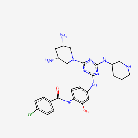 N[C@@H]1C[C@H](N)CN(c2nc(Nc3ccc(NC(=O)c4ccc(Cl)cc4)c(O)c3)nc(NC3CCCNC3)n2)C1